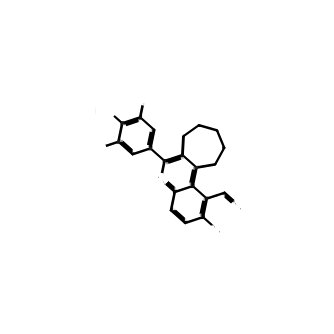 Cc1cc(-c2nc3ccc(N)c(C=N)c3c3c2CCCCC3)cc(C)c1O